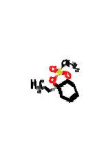 CC[C@]1(OS(C)(=O)=O)C=CC=CC1